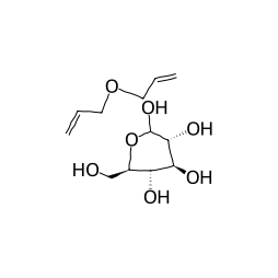 C=CCOCC=C.OC[C@H]1OC(O)[C@H](O)[C@@H](O)[C@@H]1O